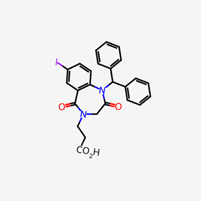 O=C(O)CCN1CC(=O)N(C(c2ccccc2)c2ccccc2)c2ccc(I)cc2C1=O